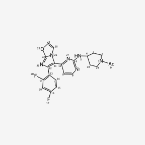 CC(=O)N1CCC(Nc2nccc(-c3c(-c4ccc(F)cc4F)nc4occn34)n2)CC1